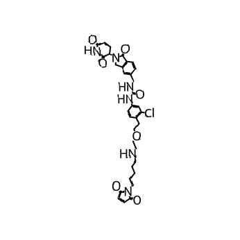 O=C1CCC(N2Cc3cc(CNC(=O)Nc4ccc(CCOCCNCCCCCN5C(=O)C=CC5=O)c(Cl)c4)ccc3C2=O)C(=O)N1